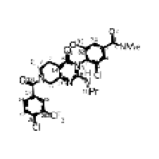 CNC(=O)c1cc(Cl)c(-n2c(NC(C)C)nc3c(c2=O)C[C@@H](C)N(C(=O)c2ccc(Cl)c(C(F)(F)F)c2)C3)c(Cl)c1